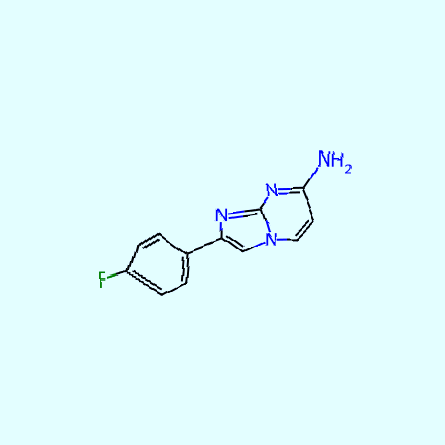 Nc1ccn2cc(-c3ccc(F)cc3)nc2n1